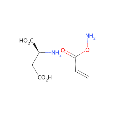 C=CC(=O)ON.N[C@@H](CC(=O)O)C(=O)O